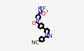 N#Cc1ccc(-c2cnc3ccc(-c4ccc(C(=O)N5CCC(NC(=O)C(F)(F)F)CC5)cc4)cn23)cc1